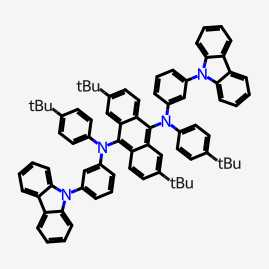 CC(C)(C)c1ccc(N(c2cccc(-n3c4ccccc4c4ccccc43)c2)c2c3ccc(C(C)(C)C)cc3c(N(c3ccc(C(C)(C)C)cc3)c3cccc(-n4c5ccccc5c5ccccc54)c3)c3ccc(C(C)(C)C)cc23)cc1